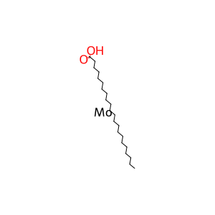 CCCCCCCCCCCCCCCCCCCCCC(=O)O.[Mo]